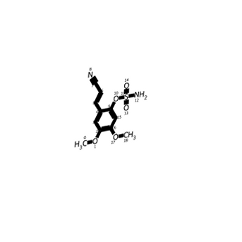 COc1cc(/C=C/C#N)c(OS(N)(=O)=O)cc1OC